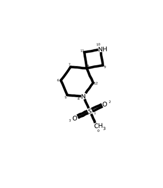 CS(=O)(=O)N1CCCC2(CNC2)C1